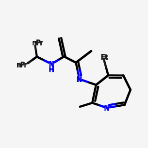 C=C(NC(CCC)CCC)/C(C)=N/C1=C(C)N=CCC=C1CC